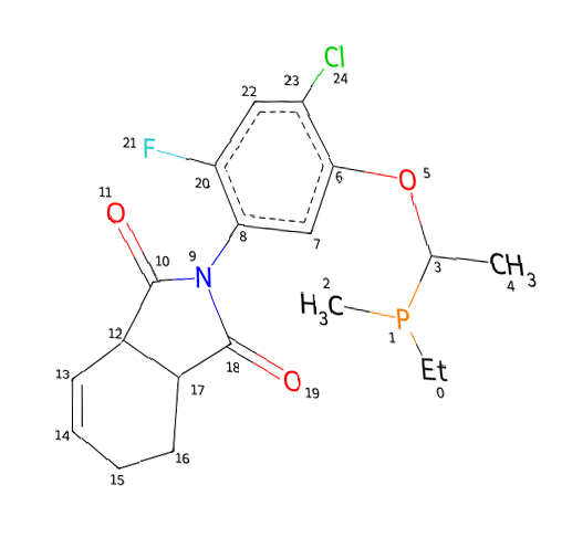 CCP(C)C(C)Oc1cc(N2C(=O)C3C=CCCC3C2=O)c(F)cc1Cl